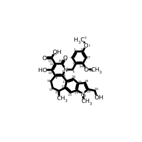 COc1ccc(Cn2c3c(c(O)c(C(=O)O)c2=O)CCC(C)c2cc4c(cc2-3)cc(CO)n4C)c(OC)c1